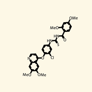 COc1ccc(C(=O)NC(=S)Nc2ccc(Oc3ccnc4cc(OC)c(OC)cc34)c(Cl)c2)c(OC)c1